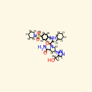 CC(C)(O)c1cnnn1C1CC(C(N)=O)N(C(=O)[C@@H](CC2CCCCC2)Nc2ccc(S(=O)(=O)N3CCCCC3)cc2)C1